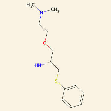 CN(C)CCOC[C@@H]([NH])CSc1ccccc1